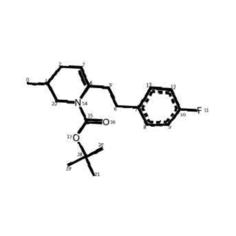 CC1CC=C(CCc2ccc(F)cc2)N(C(=O)OC(C)(C)C)C1